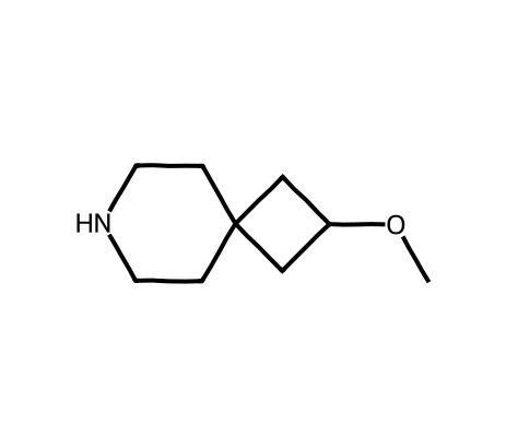 COC1CC2(CCNCC2)C1